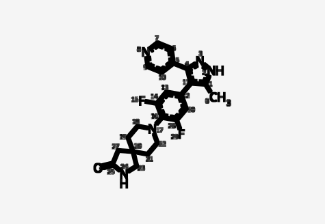 Cc1[nH]nc(-c2ccncc2)c1-c1cc(F)c(N2CCC3(CC2)CNC(=O)C3)c(F)c1